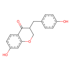 O=C1c2ccc(O)cc2OCC1Cc1ccc(O)cc1